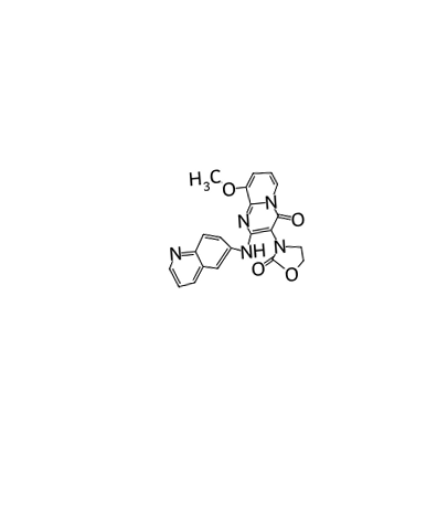 COc1cccn2c(=O)c(N3CCOC3=O)c(Nc3ccc4ncccc4c3)nc12